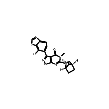 Cn1c(N2C[C@@H]3CC[C@H]2[C@H]3N)nc2[nH]nc(-c3ccc4ncsc4c3Cl)c2c1=O